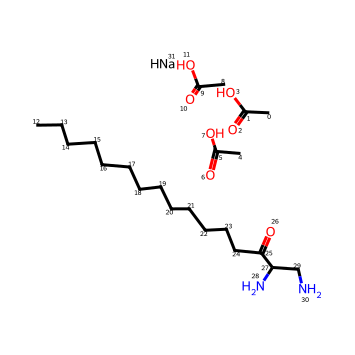 CC(=O)O.CC(=O)O.CC(=O)O.CCCCCCCCCCCCCC(=O)C(N)CN.[NaH]